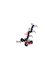 CC/C(C)=C/C=C/C=C/[C@@H](C)CC(C)C(=O)CC(O)/C(C)=C/CCC[C@H](OC(=O)C1CCCCN1C(=O)C(=O)C1(O)OCCCC1C)[C@H](C)CC1CCCC(OC)C1